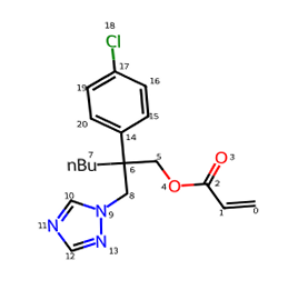 C=CC(=O)OCC(CCCC)(Cn1cncn1)c1ccc(Cl)cc1